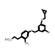 CCOC(=O)CCc1ccc(SCc2cc(Br)cc(OCC3CC3)c2)cc1C